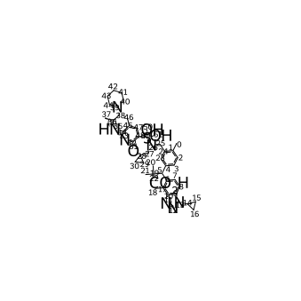 Cc1ccc(C(c2ccc3c(nnn3C3CC3)c2C)C(C)(C)C(=O)O)cc1CN1CC2(CC2)Oc2nc(N[C@@H](C)CN3CCCCC3)c(C)cc2S1(O)O